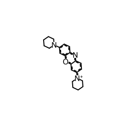 c1cc2nc3ccc(=[N+]4CCCCC4)cc-3oc2cc1N1CCCCC1